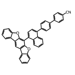 N#Cc1ccc(-c2ccc(-c3ccc(-c4c5oc6ccccc6c5cc5c4oc4ccccc45)c4ccccc34)cc2)cc1